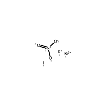 O=[N+]([O-])[O-].[Bi+3].[I-].[K+]